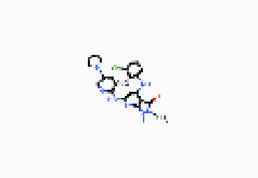 COc1c(Cl)cccc1Nc1cc(Nc2ccc(N3CCCC3)cn2)nc2[nH]n(C)c(=O)c12